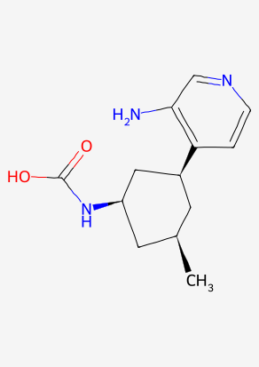 C[C@H]1C[C@@H](NC(=O)O)C[C@@H](c2ccncc2N)C1